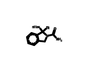 CCCCCCC1(CC)c2ccccc2CN1C(N)=O